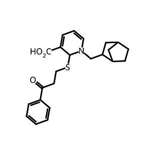 O=C(O)C1=CC=CN(CC2CC3CCC2C3)C1SCCC(=O)c1ccccc1